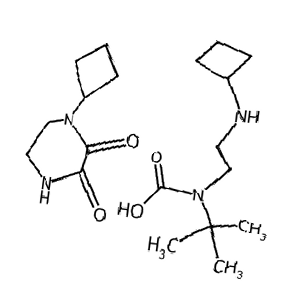 CC(C)(C)N(CCNC1CCC1)C(=O)O.O=C1NCCN(C2CCC2)C1=O